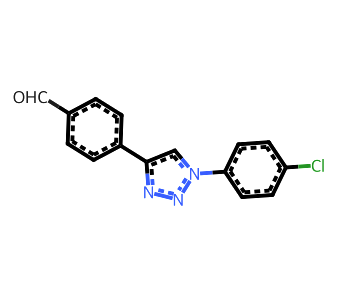 O=Cc1ccc(-c2cn(-c3ccc(Cl)cc3)nn2)cc1